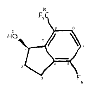 O[C@@H]1CCc2c(F)ccc(C(F)(F)F)c21